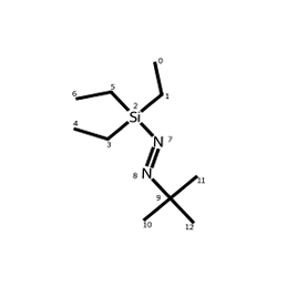 CC[Si](CC)(CC)/N=N/C(C)(C)C